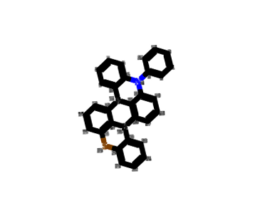 c1ccc(N2c3ccccc3B3c4cccc5c4B(c4ccccc4S5)c4cccc2c43)cc1